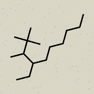 CCCCCCC(CC)C(C)C(C)(C)C